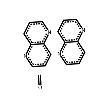 C=O.c1cnc2cccnc2c1.c1cnc2cccnc2c1